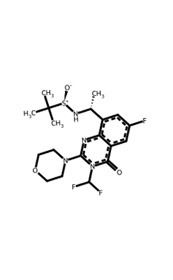 C[C@@H](N[S@+]([O-])C(C)(C)C)c1cc(F)cc2c(=O)n(C(F)F)c(N3CCOCC3)nc12